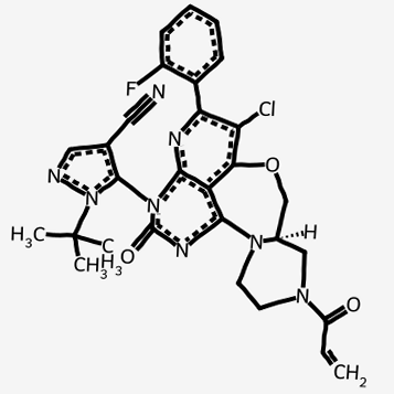 C=CC(=O)N1CCN2c3nc(=O)n(-c4c(C#N)cnn4C(C)(C)C)c4nc(-c5ccccc5F)c(Cl)c(c34)OC[C@H]2C1